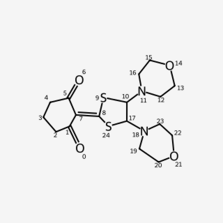 O=C1CCCC(=O)C1=C1SC(N2CCOCC2)C(N2CCOCC2)S1